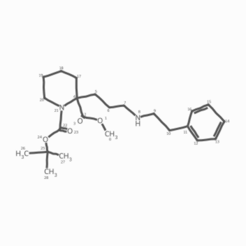 COC(=O)C1(CCCNCCc2ccccc2)CCCCN1C(=O)OC(C)(C)C